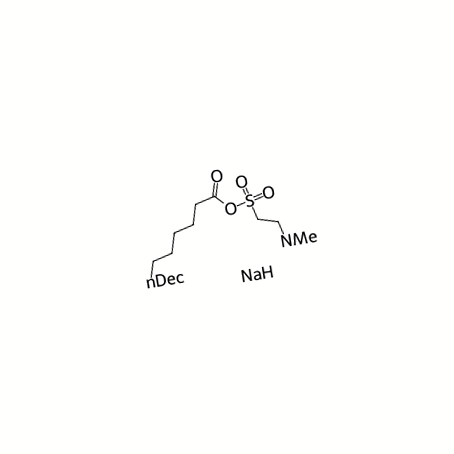 CCCCCCCCCCCCCCCC(=O)OS(=O)(=O)CCNC.[NaH]